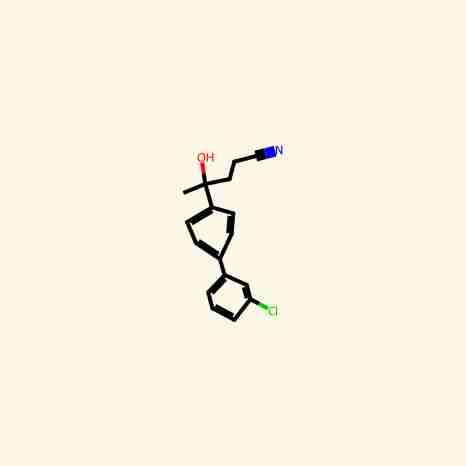 CC(O)(CCC#N)c1ccc(-c2cccc(Cl)c2)cc1